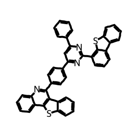 c1ccc(-c2cc(-c3ccc(-c4nc5ccccc5c5sc6ccccc6c45)cc3)nc(-c3cccc4c3sc3ccccc34)n2)cc1